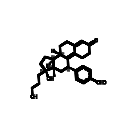 C[C@]12C[C@H](c3ccc(C=O)cc3)C3=C4CCC(=O)C=C4CC[C@H]3[C@@H]1CC[C@@]2(O)CCCO